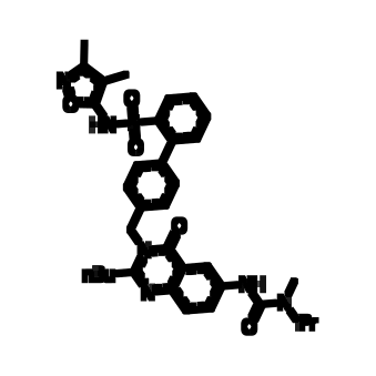 CCCCc1nc2ccc(NC(=O)N(C)C(C)C)cc2c(=O)n1Cc1ccc(-c2ccccc2S(=O)(=O)Nc2onc(C)c2C)cc1